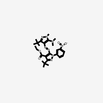 CCOC(=O)c1c(C(C)(C)C)nn(-c2cccc([N+](=O)[O-])c2)c1N=Nc1c(C(C)(C)C)nn(C)c1N(C)C